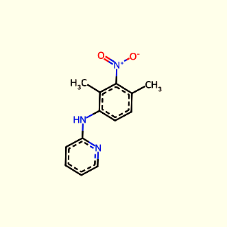 Cc1ccc(Nc2ccccn2)c(C)c1[N+](=O)[O-]